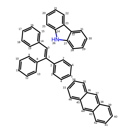 C(=C(c1ccccc1)c1ccccc1)c1ccccc1.c1ccc2c(c1)[nH]c1ccccc12.c1ccc2cc3ccccc3cc2c1